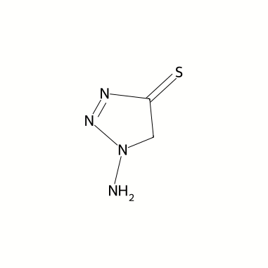 NN1CC(=S)N=N1